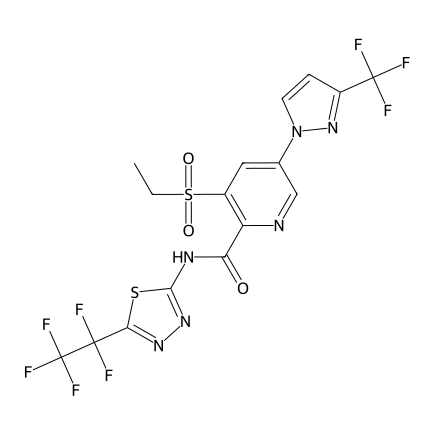 CCS(=O)(=O)c1cc(-n2ccc(C(F)(F)F)n2)cnc1C(=O)Nc1nnc(C(F)(F)C(F)(F)F)s1